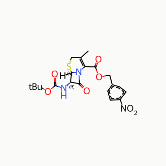 CC1=C(C(=O)OCc2ccc([N+](=O)[O-])cc2)N2C(=O)[C@@H](NC(=O)OC(C)(C)C)[C@@H]2SC1